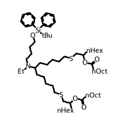 CCCCCCCCC(=O)OC(CCCCCC)CSCCCCCC(CCCCCSCC(CCCCCC)OC(=O)CCCCCCCC)N(CC)CCCCO[Si](c1ccccc1)(c1ccccc1)C(C)(C)C